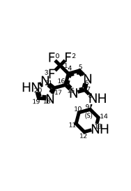 FC(F)(F)c1cnc(N[C@H]2CCCNC2)nc1-c1nc[nH]n1